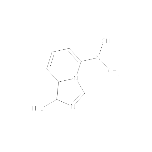 CC1N=CN2C(N(C)C)=CC=CC12